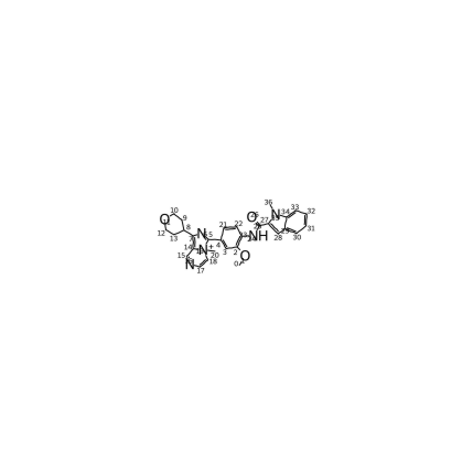 COc1cc(C2=NC(C3CCOCC3)=C3C=NC=C[N+]23C)ccc1NC(=O)c1cc2ccccc2n1C